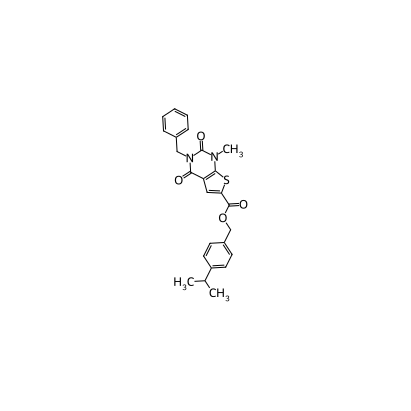 CC(C)c1ccc(COC(=O)c2cc3c(=O)n(Cc4ccccc4)c(=O)n(C)c3s2)cc1